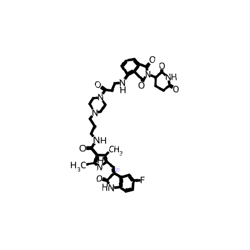 Cc1[nH]c(/C=C2\C(=O)Nc3ccc(F)cc32)c(C)c1C(=O)NCCCN1CCN(C(=O)CCNc2cccc3c2C(=O)N(C2CCC(=O)NC2=O)C3=O)CC1